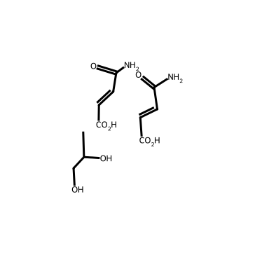 CC(O)CO.NC(=O)C=CC(=O)O.NC(=O)C=CC(=O)O